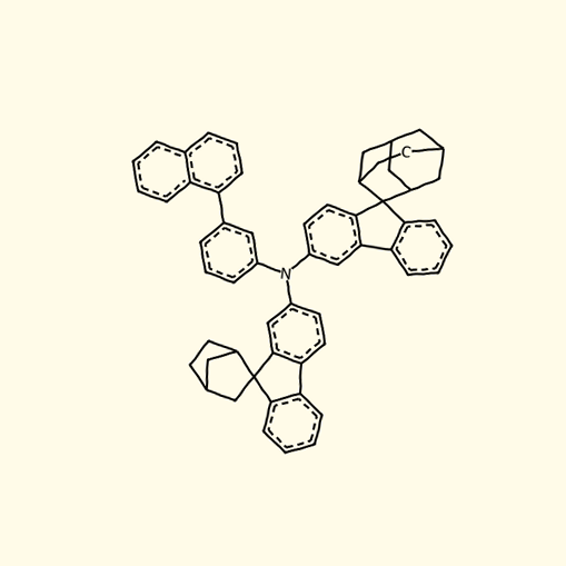 c1cc(-c2cccc3ccccc23)cc(N(c2ccc3c(c2)-c2ccccc2C32C3CCC4CC(C3)CC2C4)c2ccc3c(c2)C2(CC4CCC2C4)c2ccccc2-3)c1